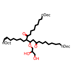 CCCCCCCC/C=C\CCCCCC(C(=O)CCCCCCCCCCCCCCCCC)C(CC(=O)CCCCCCCCCCCCCCCCC)OCC(O)CO